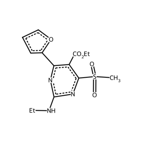 CCNc1nc(-c2ccco2)c(C(=O)OCC)c(S(C)(=O)=O)n1